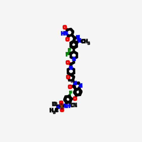 CCN(C)S(=O)(=O)Nc1ccc(F)c(Oc2ccc3ncn([C@H]4COC5(CCN(C(=O)CN6CCC(c7ccc8c(C9CCC(=O)NC9=O)nn(C)c8c7)C(F)(F)C6)CC5)C4)c(=O)c3c2)c1C#N